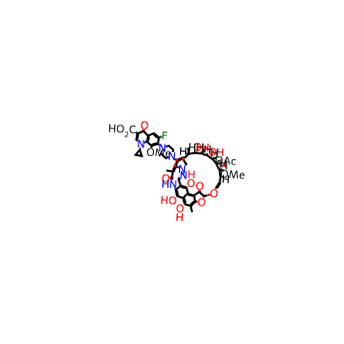 COc1c(N2CCN(C3CCN(/N=C/c4c5c(O)c6c(O)c(C)c7c(c6c4O)C(=O)[C@@](C)(O/C=C/[C@H](OC)[C@@H](C)[C@@H](OC(C)=O)[C@H](C)[C@H](O)[C@H](C)[C@@H](O)[C@@H](C)/C=C/C=C(/C)C(=O)N5)O7)C3)CC2)c(F)cc2c(=O)c(C(=O)O)cn(C3CC3)c12